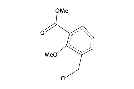 COC(=O)c1cccc(CCl)c1OC